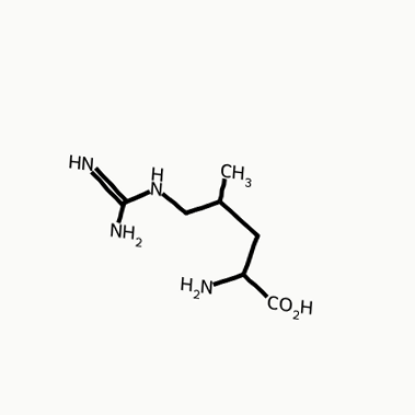 CC(CNC(=N)N)CC(N)C(=O)O